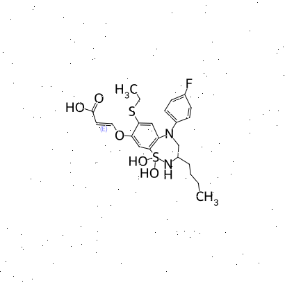 CCCCC1CN(c2ccc(F)cc2)c2cc(SCC)c(O/C=C/C(=O)O)cc2S(O)(O)N1